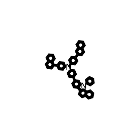 c1ccc(-n2c3cc(-c4ccc(N(c5ccc(-c6ccc7ccccc7c6)cc5)c5ccc(-c6cccc7ccccc67)cc5)cc4)ccc3c3ccc4ccccc4c32)cc1